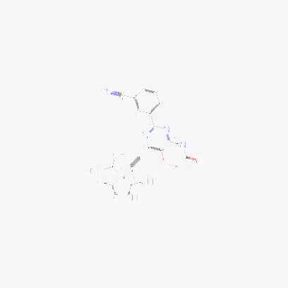 CC(C)[Si](C#Cc1nc(-c2cccc(C#N)c2)nc2c1OCC(=O)N2)(C(C)C)C(C)C